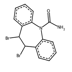 NC(=O)N1c2ccccc2C(Br)C(Br)c2ccccc21